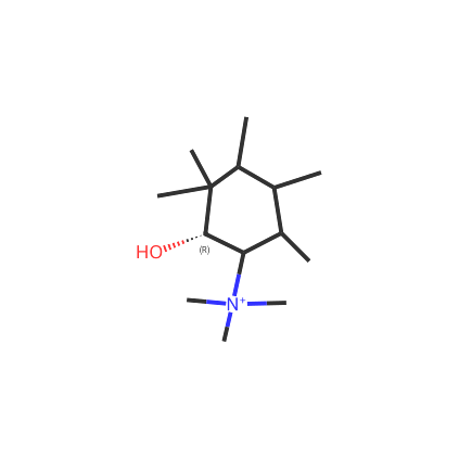 CC1C(C)C([N+](C)(C)C)[C@H](O)C(C)(C)C1C